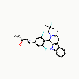 COC(=O)/C=C/c1cc(F)c(C2c3[nH]c4ccccc4c3C[C@@H](C)N2CC(C)(C)F)c(F)c1